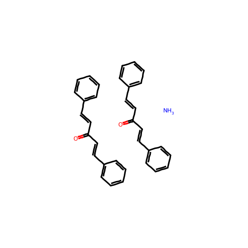 N.O=C(C=Cc1ccccc1)C=Cc1ccccc1.O=C(C=Cc1ccccc1)C=Cc1ccccc1